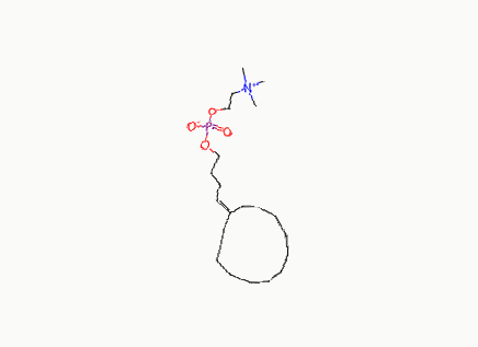 C[N+](C)(C)CCOP(=O)([O-])OCCCC=C1CCCCCCCCCCC1